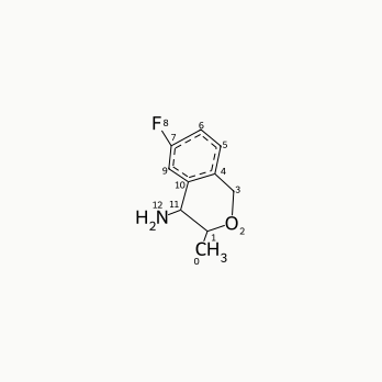 CC1OCc2ccc(F)cc2C1N